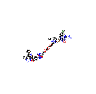 CC(=O)NC(CSc1nc2c(=O)[nH]c(N)nc2n1Cc1ccc(F)cc1)C(=O)NCCCOCCOCCOCCCNC(=O)C(=O)Nc1ccc(C(=O)c2sc3nc(-c4cccs4)cc(C(F)(F)F)c3c2N)cc1